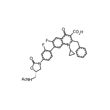 CC(=O)NC[C@H]1CN(c2ccc(-c3cc4c(cc3F)c(=O)c(C(=O)O)c(Cc3ccccc3)n4C3CC3)c(F)c2)C(=O)O1